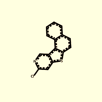 Clc1cc2sc3ccc4ccccc4c3c2cn1